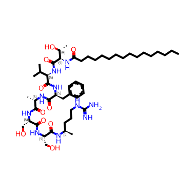 CCCCCCCCCCCCCCCC(=O)N[C@H](C(=O)N[C@H](C(=O)N[C@@H](Cc1ccccc1)C(=O)N[C@@H](C)C(=O)N[C@@H](CO)C(=O)N[C@@H](CO)C(=O)N[C@H](C)CCCNC(=N)N)C(C)C)[C@@H](C)O